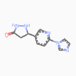 O=C1CC(c2ccc(-n3ccnc3)nc2)NN1